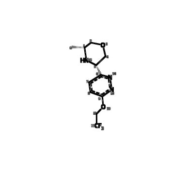 C[C@@H]1COC[C@H](c2ccc(OCC(F)(F)F)nn2)N1